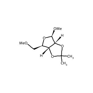 COC[C@H]1O[C@@H](OC)[C@@H]2OC(C)(C)O[C@@H]21